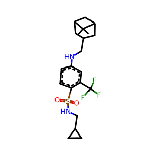 CC1(C)C2CC(CNc3ccc(S(=O)(=O)NCC4CC4)c(C(F)(F)F)c3)CC1C2